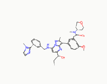 CCC(O)c1cc(NCc2cccc(-c3nccn3C)c2)n2nc(C)c(-c3ccc(OC)c(C(=O)N(C)C4CCOCC4)c3)c2n1